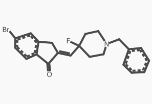 O=C1/C(=C/C2(F)CCN(Cc3ccccc3)CC2)Cc2cc(Br)ccc21